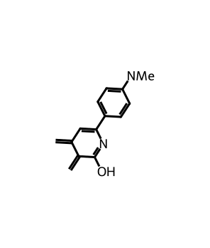 C=c1cc(-c2ccc(NC)cc2)nc(O)c1=C